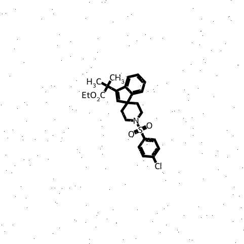 CCOC(=O)C(C)(C)C1=CC2(CCN(S(=O)(=O)c3ccc(Cl)cc3)CC2)c2ccccc21